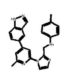 Cc1ccc(NCc2nccn2-c2cc(-c3ccc4[nH]ncc4c3)cc(C)n2)cc1